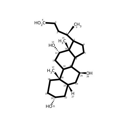 C[C@H](CCC(=O)O)C1CCC2C3C(C[C@H](O)[C@@]21C)[C@@]1(C)CC[C@@H](O)C[C@H]1C[C@@H]3O